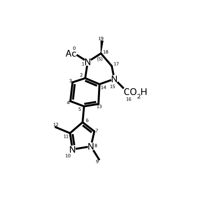 CC(=O)N1c2ccc(-c3cn(C)nc3C)cc2N(C(=O)O)C[C@@H]1C